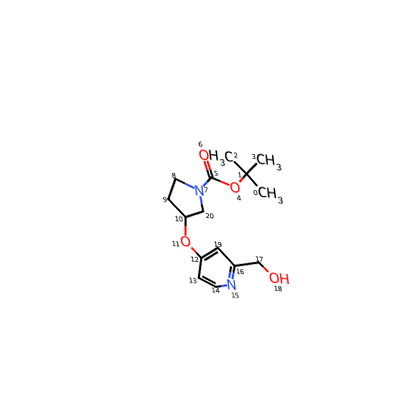 CC(C)(C)OC(=O)N1CCC(Oc2ccnc(CO)c2)C1